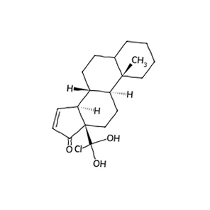 C[C@]12CCCCC1CC[C@@H]1[C@@H]2CC[C@]2(C(O)(O)Cl)C(=O)C=C[C@@H]12